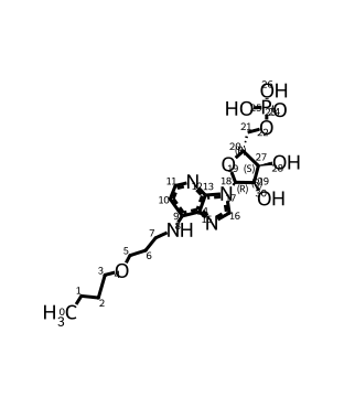 CCCCOCCCNc1ccnc2c1ncn2[C@@H]1O[C@H](COP(=O)(O)O)[C@@H](O)[C@H]1O